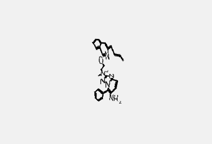 CCCCc1cc2ccccc2c(OCC[N+](C)(C)c2nc3ccc(N)c(-c4ccccc4)n3n2)n1